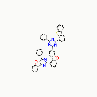 c1ccc(-c2nc(-c3ccc4c(c3)oc3cccc(-c5nc(-c6ccccc6)c6oc7ccccc7c6n5)c34)nc(-c3cccc4c3sc3ccccc34)n2)cc1